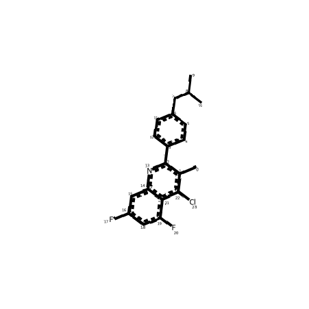 Cc1c(-c2ccc(CC(C)C)cc2)nc2cc(F)cc(F)c2c1Cl